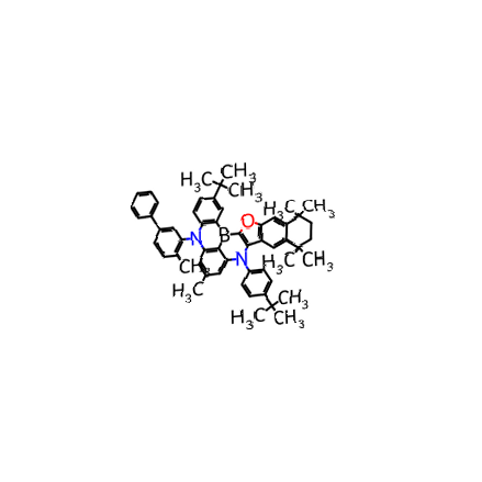 Cc1cc2c3c(c1)N(c1ccc(C(C)(C)C)cc1)c1c(oc4cc5c(cc14)C(C)(C)CCC5(C)C)B3c1cc(C(C)(C)C)ccc1N2c1cc(-c2ccccc2)ccc1C